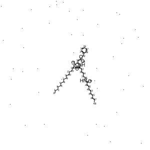 CCCCCCCCCCCCCCNC(=O)C(CC(=O)OCc1ccccc1)NC(=O)CCCCCNC(=O)CCCCCCCCC